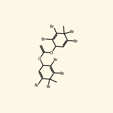 C=C(OC1C=C(Br)C(C)(Br)C(Br)=C1Br)OC1C=C(Br)C(C)(Br)C(Br)=C1Br